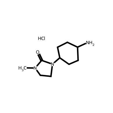 CN1CCN(C2CCC(N)CC2)C1=O.Cl